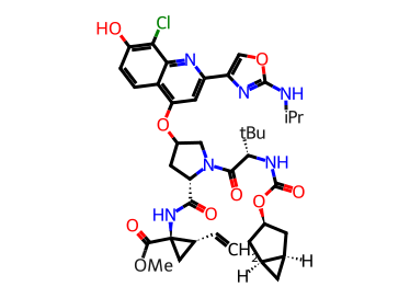 C=C[C@@H]1C[C@]1(NC(=O)[C@@H]1CC(Oc2cc(-c3coc(NC(C)C)n3)nc3c(Cl)c(O)ccc23)CN1C(=O)[C@@H](NC(=O)O[C@@H]1C[C@@H]2C[C@@H]2C1)C(C)(C)C)C(=O)OC